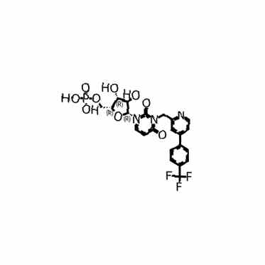 O=c1ccn([C@@H]2O[C@H](COP(=O)(O)O)[C@H](O)C2O)c(=O)n1Cc1cc(-c2ccc(C(F)(F)F)cc2)ccn1